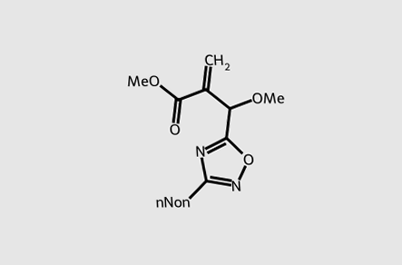 C=C(C(=O)OC)C(OC)c1nc(CCCCCCCCC)no1